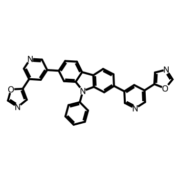 c1ccc(-n2c3cc(-c4cncc(-c5cnco5)c4)ccc3c3ccc(-c4cncc(-c5cnco5)c4)cc32)cc1